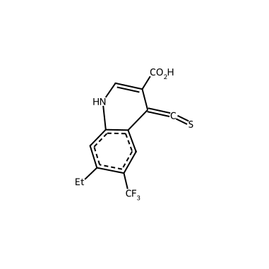 CCc1cc2c(cc1C(F)(F)F)C(=C=S)C(C(=O)O)=CN2